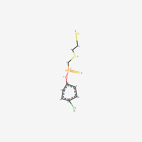 S=[PH](CSCCS)Oc1ccc(Cl)cc1